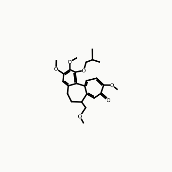 COCC1CCc2cc(OC)c(OC)c(OCC(C)C)c2-c2ccc(OC)c(=O)cc21